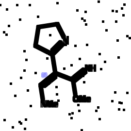 CN/C=C(\C(=N)OC)C1=NCCC1